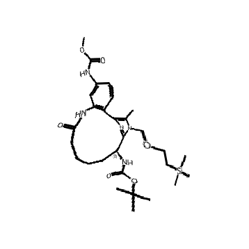 COC(=O)Nc1ccc2c(c1)NC(=O)CCCC[C@H](NC(=O)OC(C)(C)C)c1nc-2c(C)n1COCC[Si](C)(C)C